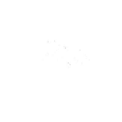 O=C1CC=Cc2nc3c(cc21)[nH]c1ccccc13